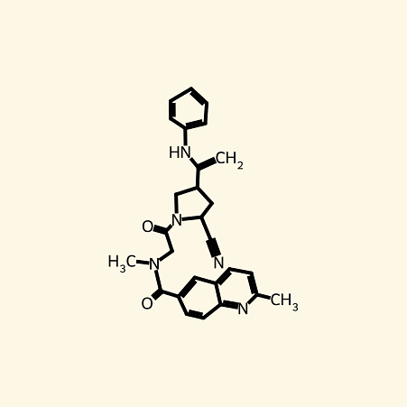 C=C(Nc1ccccc1)C1CC(C#N)N(C(=O)CN(C)C(=O)c2ccc3nc(C)ccc3c2)C1